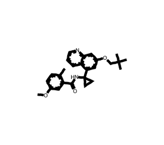 COc1ccc(C)c(C(=O)NC2(c3cc(OCC(C)(C)C)cc4ncccc34)CC2)c1